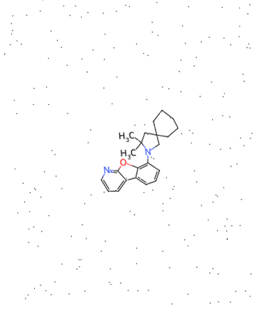 CC1(C)CC2(CCCCC2)CN1c1cccc2c1oc1ncccc12